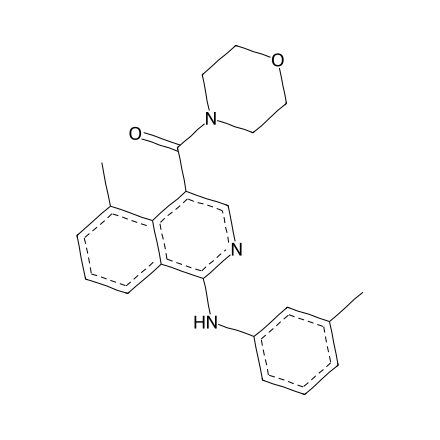 Cc1cccc(Nc2ncc(C(=O)N3CCOCC3)c3c(C)cccc23)c1